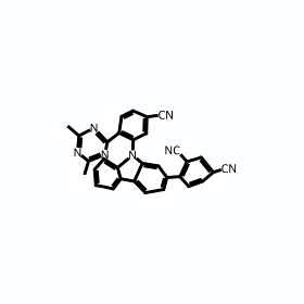 Cc1nc(C)nc(-c2ccc(C#N)cc2-n2c3ccccc3c3ccc(-c4ccc(C#N)cc4C#N)cc32)n1